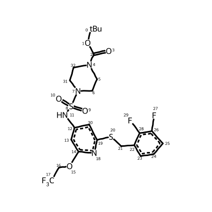 CC(C)(C)OC(=O)N1CCN(S(=O)(=O)Nc2cc(OCC(F)(F)F)nc(SCc3cccc(F)c3F)c2)CC1